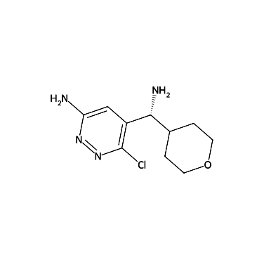 Nc1cc([C@H](N)C2CCOCC2)c(Cl)nn1